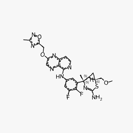 COC[C@]12C[C@H]1[C@@](C)(c1cc(Nc3nccc4nc(OCc5nc(C)no5)cnc34)cc(F)c1F)N=C(N)S2